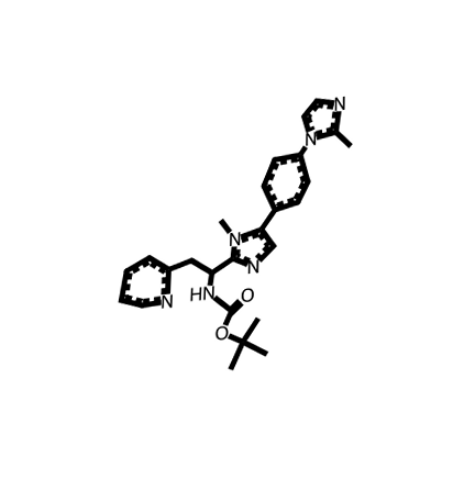 Cc1nccn1-c1ccc(-c2cnc(C(Cc3ccccn3)NC(=O)OC(C)(C)C)n2C)cc1